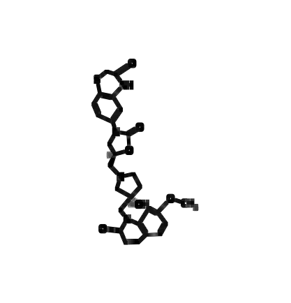 COc1ccc2ccc(=O)n(C[C@]3(O)CCN(C[C@H]4CN(c5ccc6c(c5)NC(=O)CS6)C(=O)O4)C3)c2c1